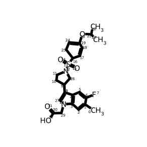 Cc1cc2c(cc1F)c(C1CCN(S(=O)(=O)C3C=CC(OC(C)C)=CC3)C1)cn2CC(=O)O